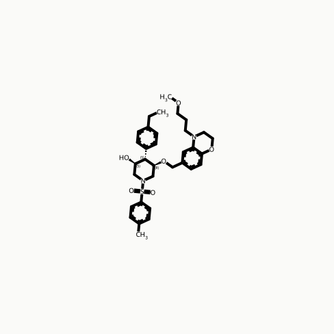 CCc1ccc([C@H]2[C@H](O)CN(S(=O)(=O)c3ccc(C)cc3)C[C@@H]2OCc2ccc3c(c2)N(CCCOC)CCO3)cc1